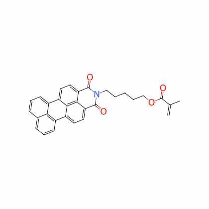 C=C(C)C(=O)OCCCCCN1C(=O)c2ccc3c4cccc5cccc(c6ccc(c2c36)C1=O)c54